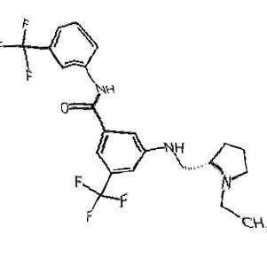 CCN1CCC[C@H]1CNc1cc(C(=O)Nc2cccc(C(F)(F)F)c2)cc(C(F)(F)F)c1